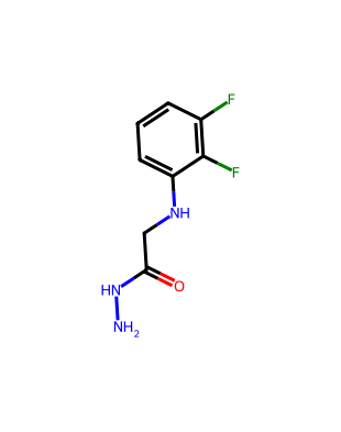 NNC(=O)CNc1cccc(F)c1F